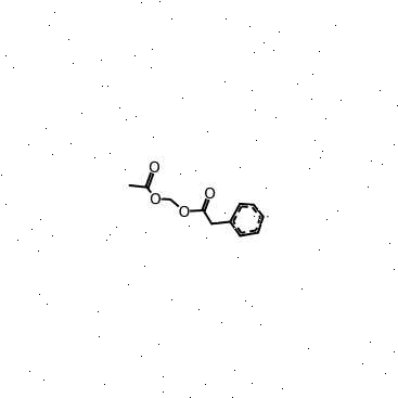 CC(=O)OCOC(=O)Cc1cc[c]cc1